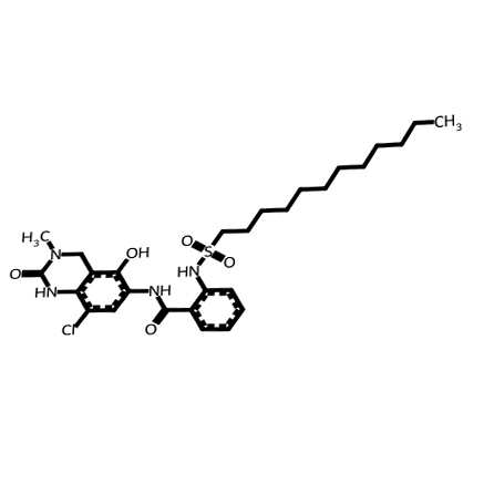 CCCCCCCCCCCCS(=O)(=O)Nc1ccccc1C(=O)Nc1cc(Cl)c2c(c1O)CN(C)C(=O)N2